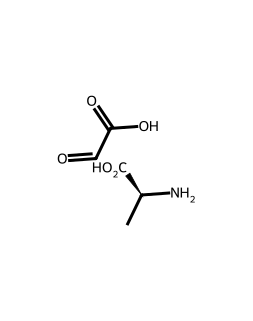 C[C@H](N)C(=O)O.O=CC(=O)O